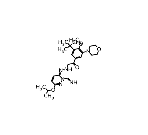 COc1c(N2CCOCC2)cc(C(=O)CN/N=c2/ccc(OC(C)C)nn2C=N)cc1C(C)(C)C